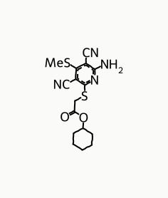 CSc1c(C#N)c(N)nc(SCC(=O)OC2CCCCC2)c1C#N